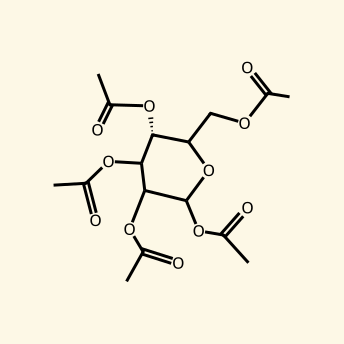 CC(=O)OCC1OC(OC(C)=O)C(OC(C)=O)C(OC(C)=O)[C@@H]1OC(C)=O